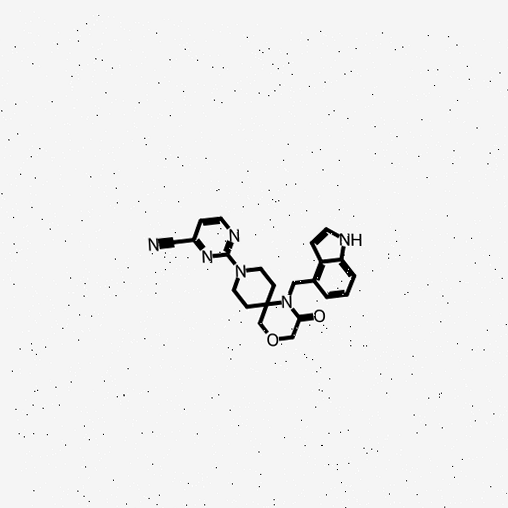 N#Cc1ccnc(N2CCC3(CC2)COCC(=O)N3Cc2cccc3[nH]ccc23)n1